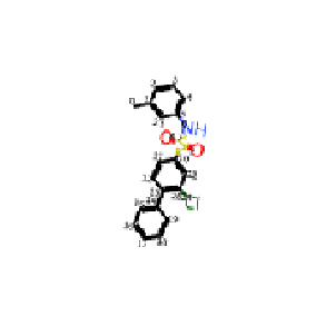 Cc1cccc(NS(=O)(=O)c2ccc(-c3ccccc3)c(Cl)c2)c1